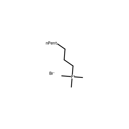 CCCCCCCC[P+](C)(C)C.[Br-]